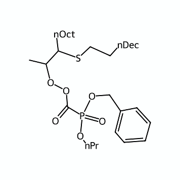 CCCCCCCCCCCCSC(CCCCCCCC)C(C)OOC(=O)P(=O)(OCCC)OCc1ccccc1